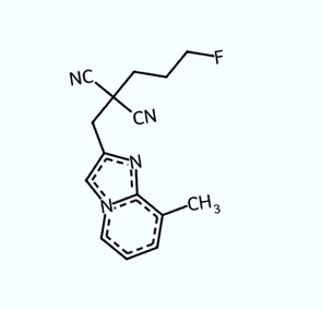 Cc1cccn2cc(CC(C#N)(C#N)CCCF)nc12